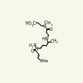 CNCCC(=O)N(C)CCCC(C)NCCC(=O)N(C)CCC(=O)O